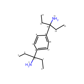 CCC(N)(CC)c1ccc(C(N)(CC)CC)cc1